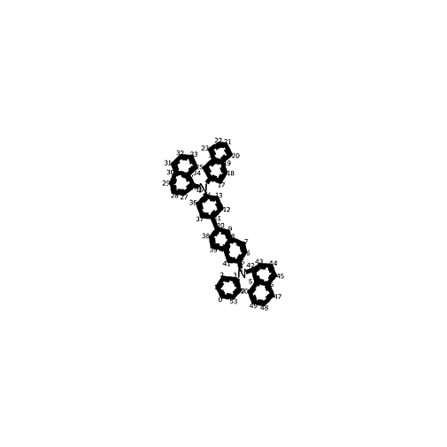 c1ccc(N(c2ccc3cc(-c4ccc(N(c5ccc6ccccc6c5)c5cccc6ccccc56)cc4)ccc3c2)c2cccc3ccccc23)cc1